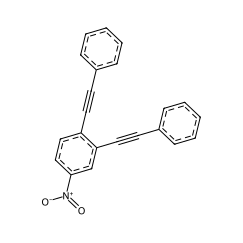 O=[N+]([O-])c1ccc(C#Cc2ccccc2)c(C#Cc2ccccc2)c1